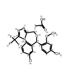 COc1cc(C)ccc1[C@@H]1O[C@@H](CC(=O)O)c2nnc(C(F)(F)F)n2-c2ccc(Cl)cc21